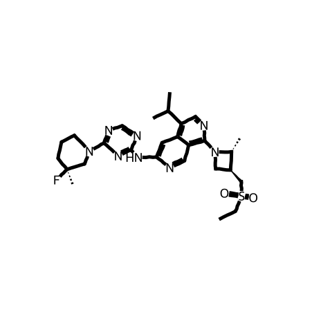 CCS(=O)(=O)C[C@H]1CN(c2ncc(C(C)C)c3cc(Nc4ncnc(N5CCC[C@](C)(F)C5)n4)ncc23)[C@@H]1C